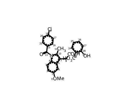 COc1ccc2c(c1)c(CC(=O)O)c(C)n2C(=O)c1ccc(Cl)cc1.O=C(O)c1ccccc1O